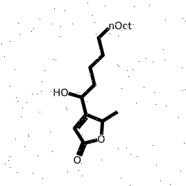 CCCCCCCCCCCCC(O)C1=CC(=O)OC1C